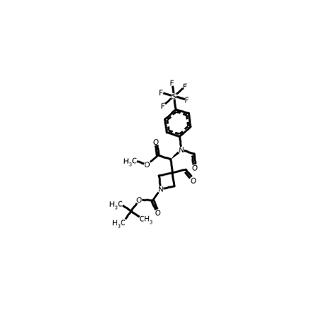 COC(=O)[C@@H](N(C=O)c1ccc(S(F)(F)(F)(F)F)cc1)C1(C=O)CN(C(=O)OC(C)(C)C)C1